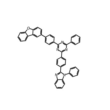 c1ccc(-c2nc(-c3ccc(-c4ccc5oc6ccccc6c5c4)cc3)nc(-c3ccc(-c4nc5ccccc5n4-c4ccccc4)cc3)n2)cc1